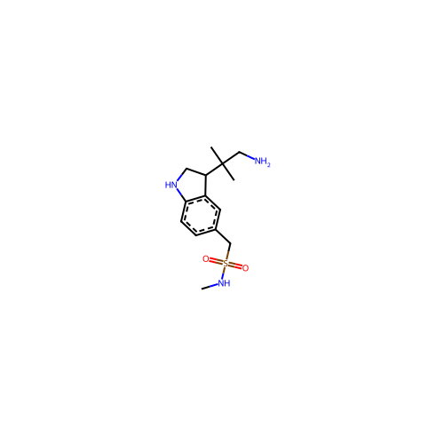 CNS(=O)(=O)Cc1ccc2c(c1)C(C(C)(C)CN)CN2